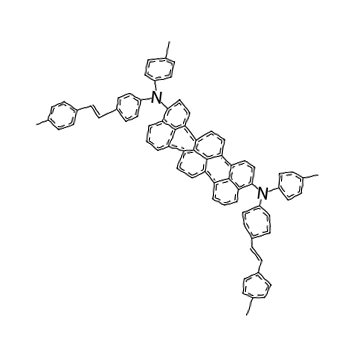 Cc1ccc(/C=C/c2ccc(N(c3ccc(C)cc3)c3ccc4c5ccc6c7ccc(N(c8ccc(C)cc8)c8ccc(/C=C/c9ccc(C)cc9)cc8)c8cccc(c9ccc(c%10cccc3c%104)c5c96)c87)cc2)cc1